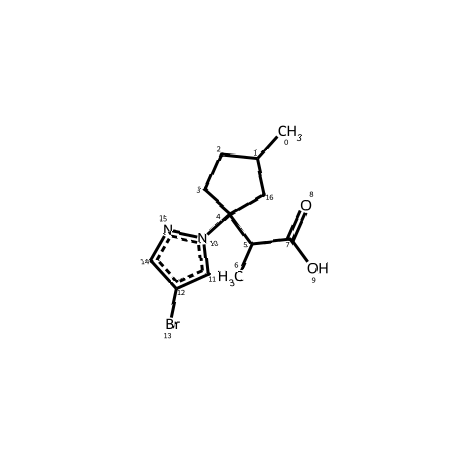 CC1CCC(C(C)C(=O)O)(n2cc(Br)cn2)C1